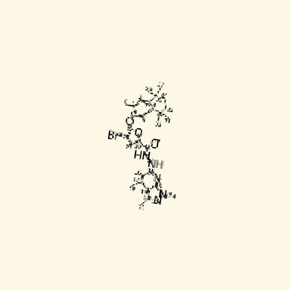 Cc1cc2c(cc1Oc1oc(C(=O)NNc3cc(C)c4c(C)nn(C)c4n3)cc1Br)C(C)(C)CCC2(C)C